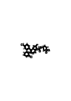 Cc1nn2c(-c3ccc(Cl)cc3)c(-c3ccccc3Cl)cnc2c1C(=O)N[C@H]1CCS(=O)(=O)C1